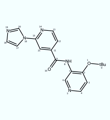 CC(C)(C)Oc1ccncc1NC(=O)c1ccnc(-n2ccnc2)c1